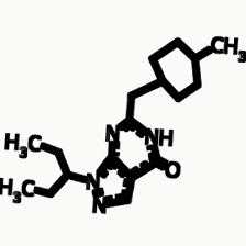 CCC(CC)n1ncc2c(=O)[nH]c(CC3CCC(C)CC3)nc21